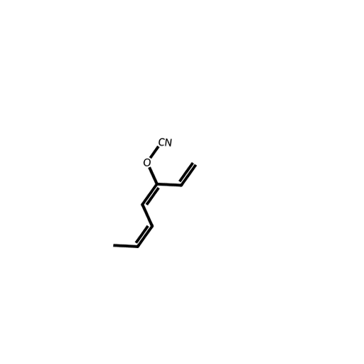 C=C/C(=C\C=C/C)OC#N